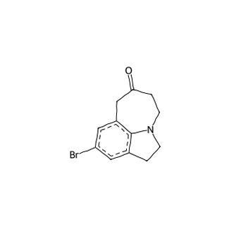 O=C1CCN2CCc3cc(Br)cc(c32)C1